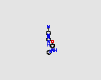 N#CC1CCN(N2C=CNC(Oc3ccc(NN4C=CC=CC4)cc3)=C2)CC1